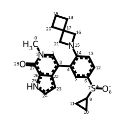 Cn1cc(-c2cc([S+]([O-])C3CC3)ccc2N2CC3(CCC3)C2)c2cc[nH]c2c1=O